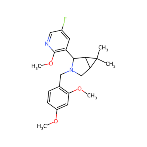 COc1ccc(CN2CC3C(C2c2cc(F)cnc2OC)C3(C)C)c(OC)c1